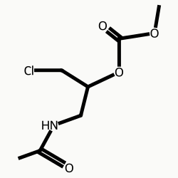 COC(=O)OC(CCl)CNC(C)=O